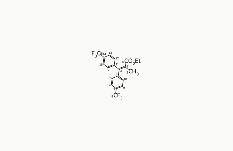 CCOC(=O)C(C)=C(c1ccc(C(F)(F)F)cc1)c1ccc(C(F)(F)F)cc1